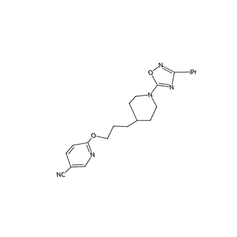 CC(C)c1noc(N2CCC(CCCOc3ccc(C#N)cn3)CC2)n1